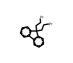 CC(C)CCC1(CCC(C)C)c2ccccc2-c2ccccc21